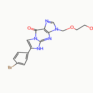 O=c1c2ncn(COCCO)c2nc2[nH]c(-c3ccc(Br)cc3)cn12